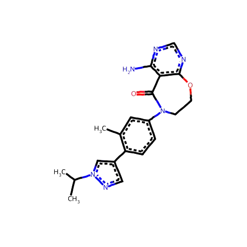 Cc1cc(N2CCOc3ncnc(N)c3C2=O)ccc1-c1cnn(C(C)C)c1